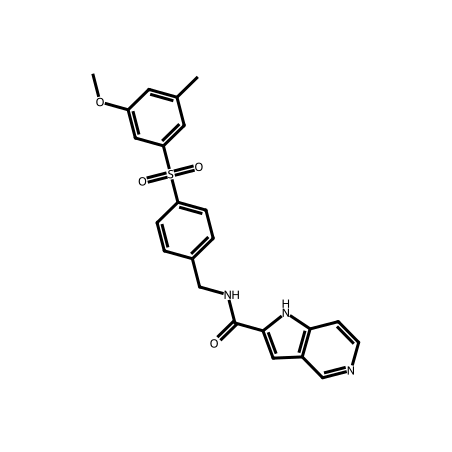 COc1cc(C)cc(S(=O)(=O)c2ccc(CNC(=O)c3cc4cnccc4[nH]3)cc2)c1